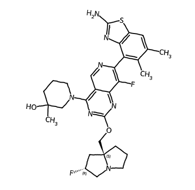 Cc1cc2sc(N)nc2c(-c2ncc3c(N4CCCC(C)(O)C4)nc(OC[C@@]45CCCN4C[C@H](F)C5)nc3c2F)c1C